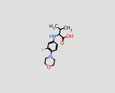 CC(C)C(Nc1ccc(N2CCOCC2)c(F)c1)C(=O)O